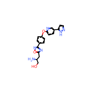 NC(CO)Cc1nc(-c2ccc(Oc3ccc(-c4ccn[nH]4)cn3)cc2)no1